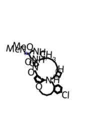 CN/C=C(\C(=N)OC)C(=O)NS1(=O)=NC(=O)c2ccc3c(c2)N(Cc2ccc(Cl)cc2CCCCO3)C[C@@H]2CC[C@H]2CCCC[C@H](C)C1